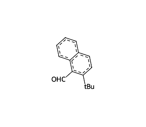 CC(C)(C)c1ccc2ccccc2c1C=O